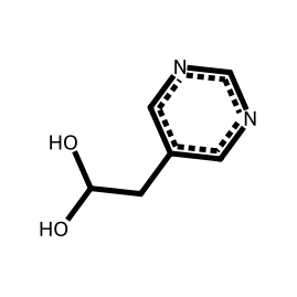 OC(O)Cc1cncnc1